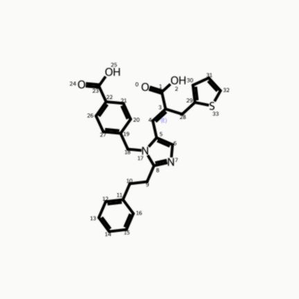 O=C(O)/C(=C/c1cnc(CCc2ccccc2)n1Cc1ccc(C(=O)O)cc1)Cc1cccs1